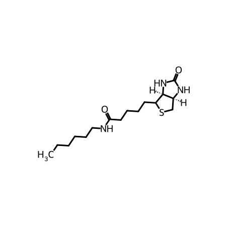 CCCCCCNC(=O)CCCCC1SC[C@@H]2NC(=O)N[C@H]12